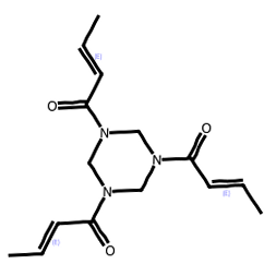 C/C=C/C(=O)N1CN(C(=O)/C=C/C)CN(C(=O)/C=C/C)C1